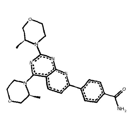 C[C@H]1COCCN1c1nc(N2CCOC[C@@H]2C)c2ccc(-c3ccc(C(N)=O)cc3)nc2n1